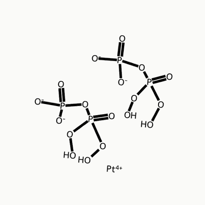 O=P([O-])([O-])OP(=O)(OO)OO.O=P([O-])([O-])OP(=O)(OO)OO.[Pt+4]